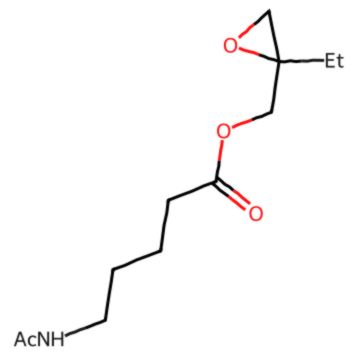 CCC1(COC(=O)CCCCNC(C)=O)CO1